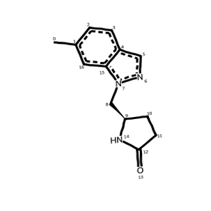 Cc1ccc2cnn(C[C@H]3CCC(=O)N3)c2c1